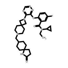 CCN(C(=O)c1cc(F)ccc1Oc1nncnc1N1CC2(CCN(CC3CCC4(CCC(=O)N4)CC3)CC2)C1)C1CC1